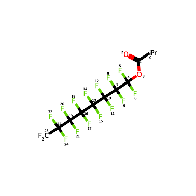 CC(C)C(=O)OC(F)(F)C(F)(F)C(F)(F)C(F)(F)C(F)(F)C(F)(F)C(F)(F)C(F)(F)F